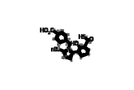 CCCCc1ncc(-c2cccc(C(=O)S)c2O)n1Cc1ccc(C(=O)O)cc1